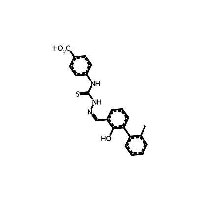 Cc1ccccc1-c1cccc(/C=N\NC(=S)Nc2ccc(C(=O)O)cc2)c1O